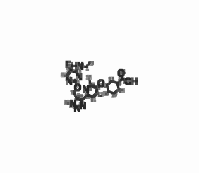 CCNc1nc(OCc2c(-c3ccc(O[C@H]4CCC[C@H](C(=O)O)C4)c(C)n3)nnn2C)ncc1F